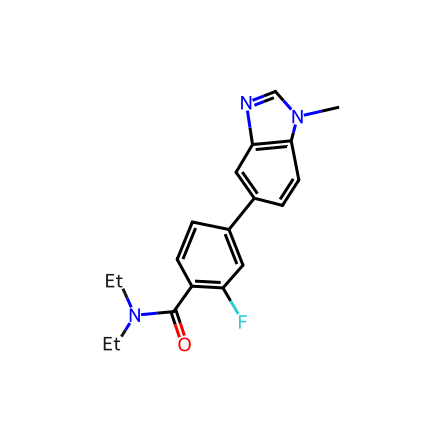 CCN(CC)C(=O)c1ccc(-c2ccc3c(c2)ncn3C)cc1F